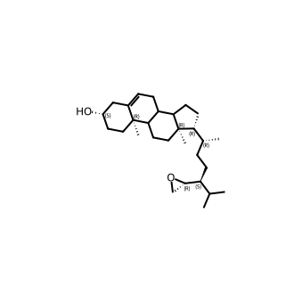 CC(C)[C@H](CC[C@@H](C)[C@H]1CCC2C3CC=C4C[C@@H](O)CC[C@]4(C)C3CC[C@@]21C)[C@@H]1CO1